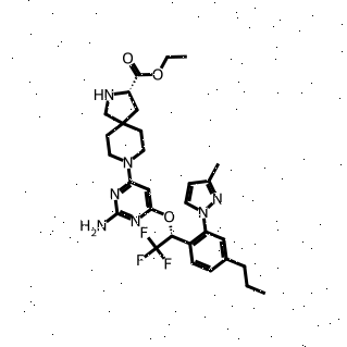 CCCc1ccc([C@@H](Oc2cc(N3CCC4(CC3)CN[C@H](C(=O)OCC)C4)nc(N)n2)C(F)(F)F)c(-n2ccc(C)n2)c1